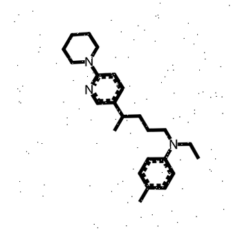 CCN(CCCC(C)c1ccc(N2CCCCC2)nc1)c1ccc(C)cc1